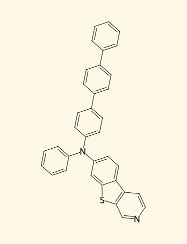 c1ccc(-c2ccc(-c3ccc(N(c4ccccc4)c4ccc5c(c4)sc4cnccc45)cc3)cc2)cc1